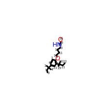 CCC(C)(C)c1ccc(OCCCCN[C]=O)c(C(C)(C)CC)c1